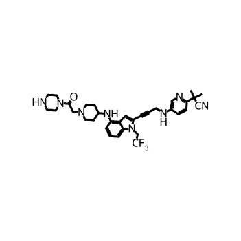 CC(C)(C#N)c1ccc(NCC#Cc2cc3c(NC4CCN(CC(=O)N5CCNCC5)CC4)cccc3n2CC(F)(F)F)cn1